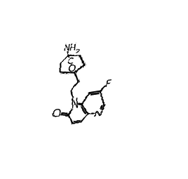 NC12CCC(CCn3c(=O)ccc4ncc(F)cc43)(CC1)OC2